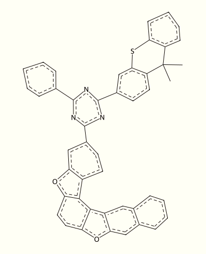 CC1(C)c2ccccc2Sc2cc(-c3nc(-c4ccccc4)nc(-c4ccc5c(c4)oc4ccc6oc7cc8ccccc8cc7c6c45)n3)ccc21